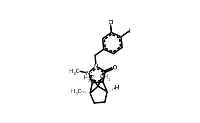 Cn1c2c(c(=O)n1Cc1ccc(I)c(Cl)c1)[C@H]1CC[C@]2(C)C1(C)C